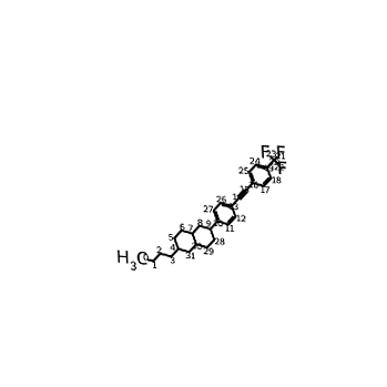 CCCCC1CCC2CC(c3ccc(C#Cc4ccc(C(F)(F)F)cc4)cc3)CCC2C1